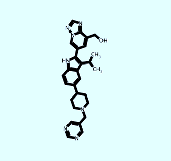 CC(C)c1c(-c2cc(CO)c3ncnn3c2)[nH]c2ccc(C3CCN(Cc4cncnc4)CC3)cc12